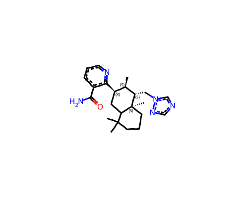 C[C@@H]1[C@H](c2ncccc2C(N)=O)CC2C(C)(C)CCC[C@]2(C)[C@H]1Cn1cncn1